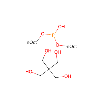 CCCCCCCCOP(O)OCCCCCCCC.OCC(CO)(CO)CO